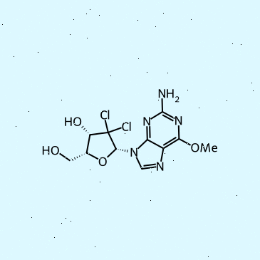 COc1nc(N)nc2c1ncn2[C@@H]1O[C@H](CO)[C@H](O)C1(Cl)Cl